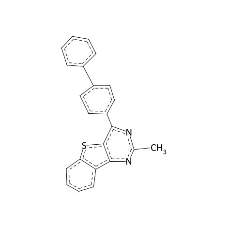 Cc1nc(-c2ccc(-c3ccccc3)cc2)c2sc3ccccc3c2n1